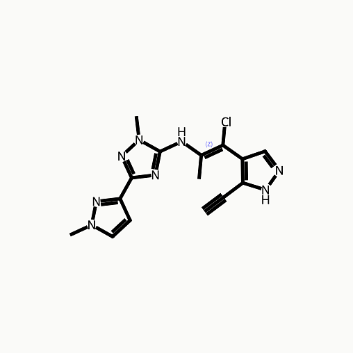 C#Cc1[nH]ncc1/C(Cl)=C(\C)Nc1nc(-c2ccn(C)n2)nn1C